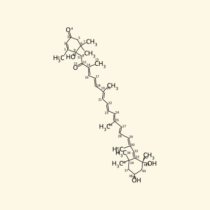 CC1=CC(=O)CC(C)(C)[C@@]1(O)CC(=O)/C(C)=C/C=C/C(C)=C/C=C/C=C(C)/C=C/C=C(\C)C=C1C(C)(C)C[C@H](O)C[C@@]1(C)O